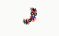 [2H]C1([2H])Oc2ccc([C@H]3O[C@@H](c4ccc5c(c4)OC([2H])([2H])C([2H])([2H])O5)N4[C@@H](c5ccccc5)COC(=O)[C@H]34)cc2OC1([2H])[2H]